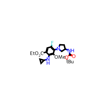 CCOC(=O)c1cc(F)c(N2CCC(NC(=O)OC(C)(C)C)C2)c(OC)c1NC1CC1